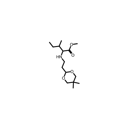 CCC(C)C(NCCC1OCC(C)(C)CO1)C(=O)OC